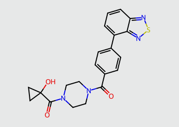 O=C(c1ccc(-c2cccc3nsnc23)cc1)N1CCN(C(=O)C2(O)CC2)CC1